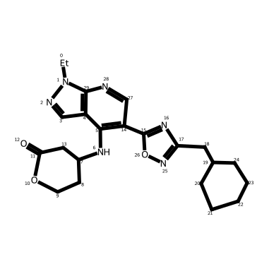 CCn1ncc2c(NC3CCOC(=O)C3)c(-c3nc(CC4CCCCC4)no3)cnc21